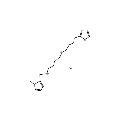 Cn1ccnc1CNCCCCNCCNCc1nccn1C.[Co]